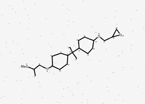 COC(C)COC1CCC(C(C)(C)C2CCC(OCC3CO3)CC2)CC1